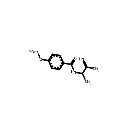 CCCCCOc1ccc(C(=O)NC(C)C(C)=N)cc1